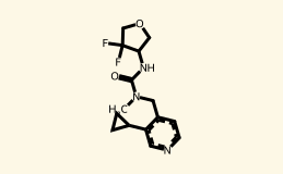 CN(Cc1ccncc1C1CC1)C(=O)NC1COCC1(F)F